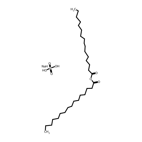 CCCCCCCCCCCCCCCC(=O)OC(=O)CCCCCCCCCCCCCCC.O=S(=O)(O)O.[NaH]